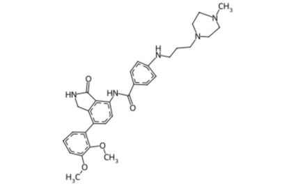 COc1cccc(-c2ccc(NC(=O)c3ccc(NCCCN4CCN(C)CC4)cc3)c3c2CNC3=O)c1OC